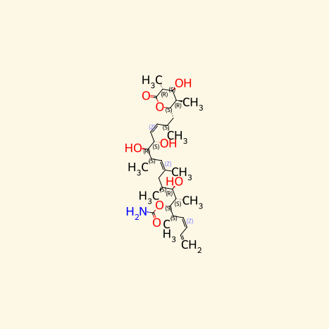 C=C/C=C\[C@H](C)[C@H](OC(N)=O)[C@@H](C)[C@H](O)[C@@H](C)C/C(C)=C\[C@H](C)[C@@H](O)[C@@H](O)/C=C\[C@@H](C)C[C@@H]1OC(=O)[C@H](C)[C@@H](O)[C@H]1C